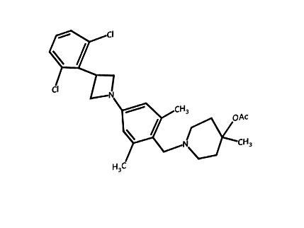 CC(=O)OC1(C)CCN(Cc2c(C)cc(N3CC(c4c(Cl)cccc4Cl)C3)cc2C)CC1